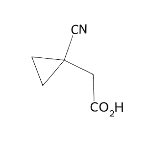 N#CC1(CC(=O)O)CC1